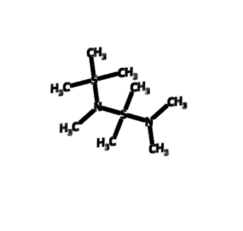 CN(C)S(C)(C)N(C)S(C)(C)C